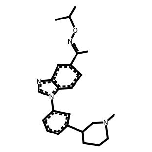 CC(=NOC(C)C)c1ccc2c(c1)ncn2-c1cccc(C2CCCN(C)C2)c1